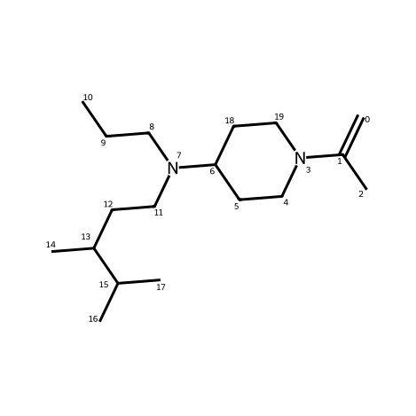 C=C(C)N1CCC(N(CCC)CCC(C)C(C)C)CC1